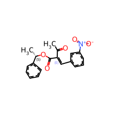 CC(=O)/C(=C\c1cccc([N+](=O)[O-])c1)C(=O)O[C@@H](C)c1ccccc1